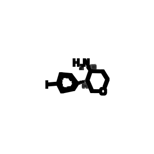 N[C@H]1CCOC[C@@H]1c1ccc(I)cc1